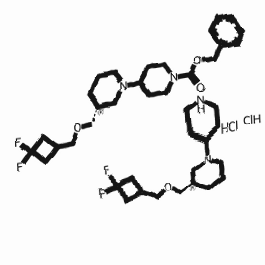 Cl.Cl.FC1(F)CC(COC[C@@H]2CCCN(C3CCNCC3)C2)C1.O=C(OCc1ccccc1)N1CCC(N2CCC[C@@H](COCC3CC(F)(F)C3)C2)CC1